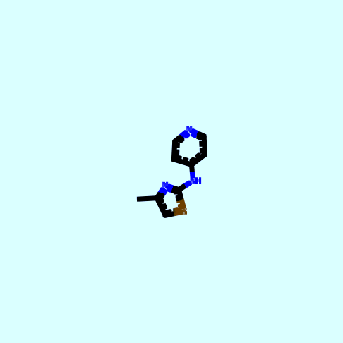 Cc1[c]sc(Nc2ccncc2)n1